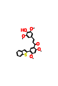 COc1cc(OC)c(-c2cc3ccccc3s2)cc1C(=O)C=Cc1cc(OC)c(O)c(OC)c1